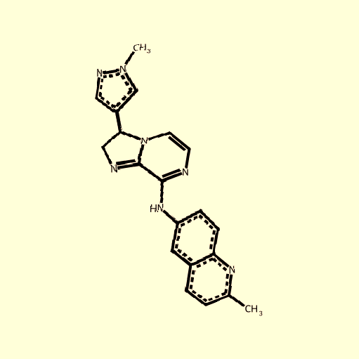 Cc1ccc2cc(NC3=NC=CN4C3=NCC4c3cnn(C)c3)ccc2n1